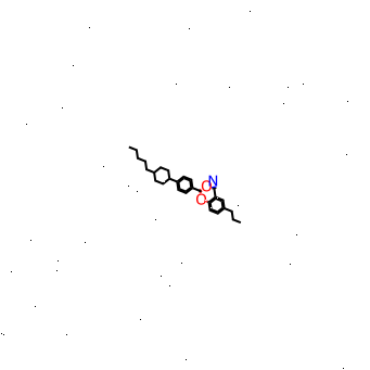 CCCCCC1CCC(c2ccc(C(=O)Oc3ccc(CCC)cc3C#N)cc2)CC1